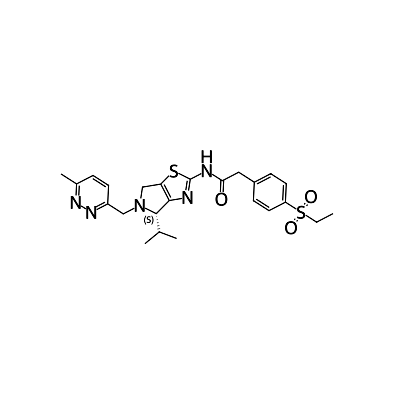 CCS(=O)(=O)c1ccc(CC(=O)Nc2nc3c(s2)CN(Cc2ccc(C)nn2)[C@H]3C(C)C)cc1